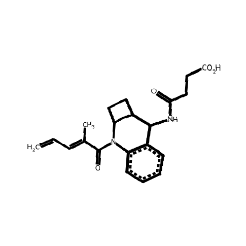 C=C/C=C(\C)C(=O)N1c2ccccc2C(NC(=O)CCC(=O)O)C2CCC21